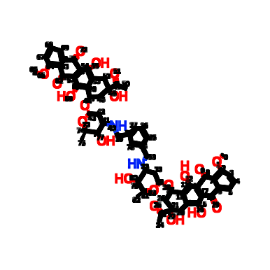 COc1cccc2c1C(=O)c1c(O)c3c(c(O)c1C2=O)C[C@@](O)(C(C)=O)C[C@@H]3O[C@H]1C[C@H](NCc2cccc(CN[C@@H]3C[C@@H](O[C@H]4C[C@](O)(C(C)=O)Cc5c(O)c6c(c(O)c54)C(=O)c4c(OC)cccc4C6=O)O[C@H](C)[C@@H]3O)c2)[C@H](O)[C@H](C)O1